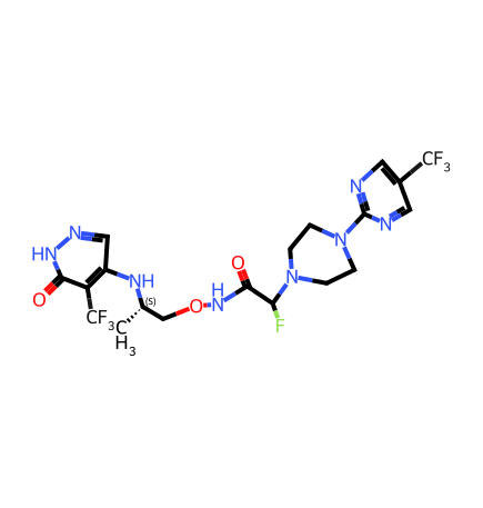 C[C@@H](CONC(=O)C(F)N1CCN(c2ncc(C(F)(F)F)cn2)CC1)Nc1cn[nH]c(=O)c1C(F)(F)F